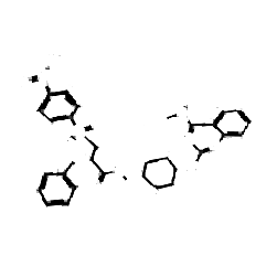 CN(C)c1nc(N[C@H]2CC[C@@H](CNC(=O)[C@H](Cc3ccccc3)CS(=O)(=O)c3ccc([N+](=O)[O-])cc3)CC2)nc2ccccc12